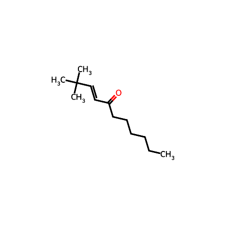 CCCCCCC(=O)C=CC(C)(C)C